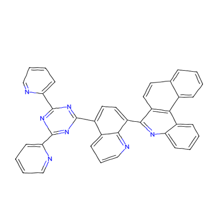 c1ccc(-c2nc(-c3ccccn3)nc(-c3ccc(-c4nc5ccccc5c5c4ccc4ccccc45)c4ncccc34)n2)nc1